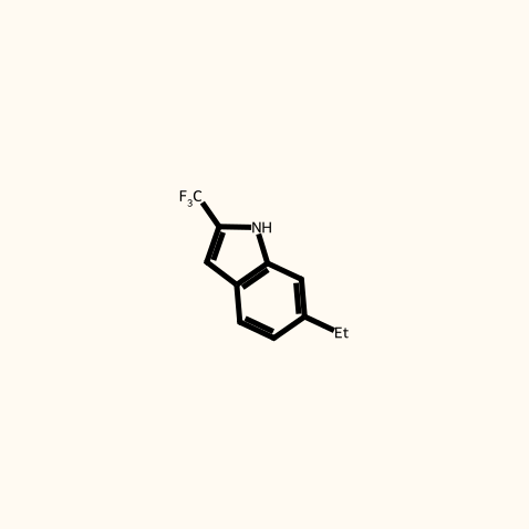 CCc1ccc2cc(C(F)(F)F)[nH]c2c1